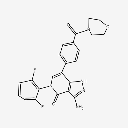 Nc1n[nH]c2c(-c3ccc(C(=O)N4CCOCC4)cn3)cn(-c3c(F)cccc3F)c(=O)c12